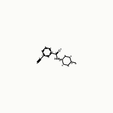 C#Cc1cccc(C(=O)NN2CCC(C)CC2)c1